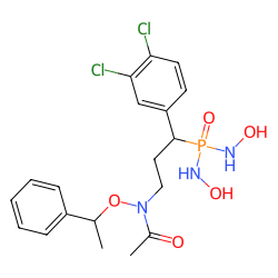 CC(=O)N(CCC(c1ccc(Cl)c(Cl)c1)P(=O)(NO)NO)OC(C)c1ccccc1